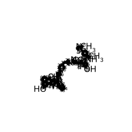 Cc1ncsc1-c1ccc([C@H](C)NC(=O)[C@@H]2C[C@@H](O)CN2C(=O)[C@@H](c2cc(N3CC(CC4CCN(C5CN(c6nc(N7CC8CCC(C7)N8)c7cnc8c(c7n6)C(C)c6cccc7cc(O)cc-8c67)C5)CC4)C3)no2)C(C)C)cc1